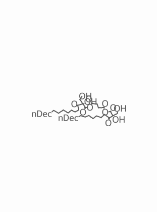 CCCCCCCCCCCCCCCCCC(=O)C(O)(CO)C(=O)OC(=O)CCC(=O)OC(=O)C(O)(CO)C(=O)CCCCCCCCCCCCCCCCC